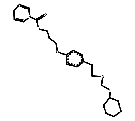 O=C(OCCCOc1ccc(CCOCOC2CCCCC2)cc1)N1C=CCC=C1